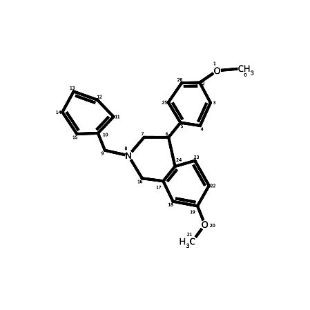 COc1ccc(C2CN(Cc3ccccc3)Cc3cc(OC)ccc32)cc1